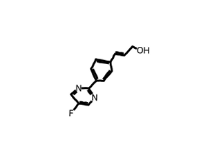 OCC=Cc1ccc(-c2ncc(F)cn2)cc1